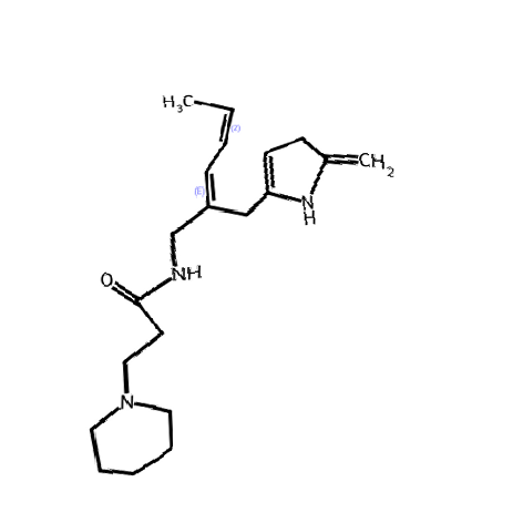 C=C1CC=C(C/C(=C\C=C/C)CNC(=O)CCN2CCCCC2)N1